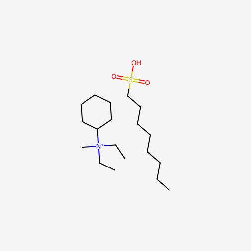 CCCCCCCCS(=O)(=O)O.CC[N+](C)(CC)C1CCCCC1